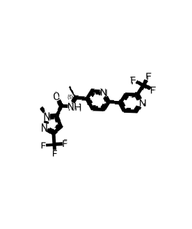 C[C@H](NC(=O)c1cc(C(F)(F)F)nn1C)c1ccc(-c2ccnc(C(F)(F)F)c2)nc1